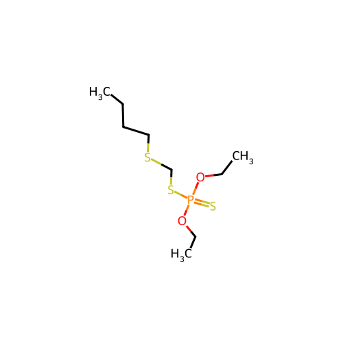 CCCCSCSP(=S)(OCC)OCC